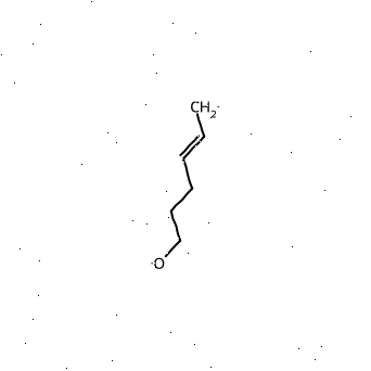 [CH2]C=CCCC[O]